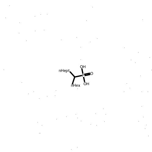 CCCCCCC[C](CCCCCC)P(=O)(O)O